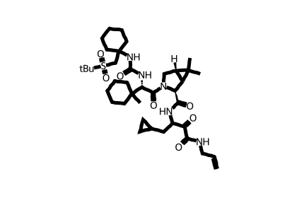 C=CCNC(=O)C(=O)C(CC1CC1)NC(=O)[C@@H]1C2[C@H](CN1C(=O)[C@@H](NC(=O)NC1(CS(=O)(=O)C(C)(C)C)CCCCC1)C1(C)CCCCC1)C2(C)C